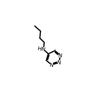 CCCCNc1[c]nnnc1